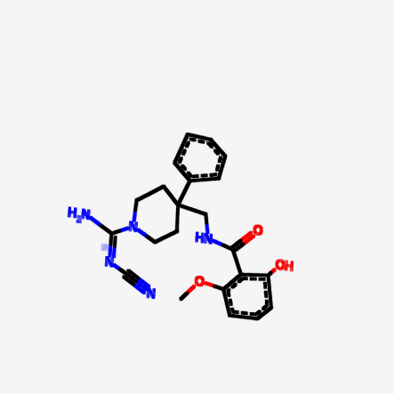 COc1cccc(O)c1C(=O)NCC1(c2ccccc2)CCN(/C(N)=N\C#N)CC1